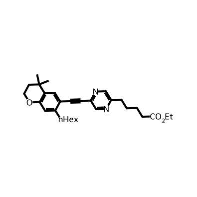 CCCCCCc1cc2c(cc1C#Cc1cnc(CCCCC(=O)OCC)cn1)C(C)(C)CCO2